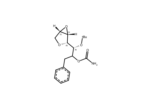 CC(C)(C)O[C@H](C(Cc1ccccc1)OC(N)=O)[C@@H]1OC[C@@H]2O[C@H]12